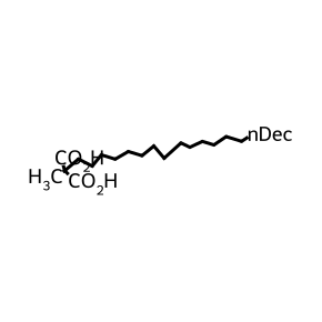 CCCCCCCCCCCCCCCCCCCCCCCCC(C)(C(=O)O)C(=O)O